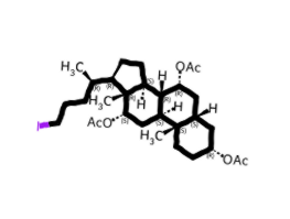 CC(=O)O[C@@H]1CC[C@@]2(C)[C@@H](C1)C[C@@H](OC(C)=O)[C@@H]1[C@@H]2C[C@H](OC(C)=O)[C@]2(C)[C@@H]([C@H](C)CCCI)CC[C@@H]12